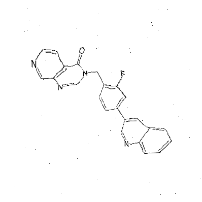 O=c1c2ccncc2ncn1Cc1ccc(-c2cnc3ccccc3c2)cc1F